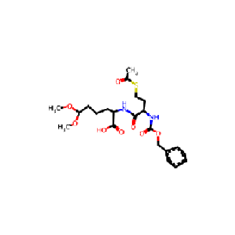 COC(CCCC(NC(=O)C(CCSC(C)=O)NC(=O)OCc1ccccc1)C(=O)O)OC